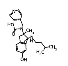 CC(C)CCNC(=O)[C@](C)(Cc1ccc(O)cc1)N(Cc1ccncc1)C(=O)O